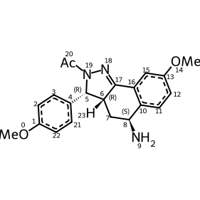 COc1ccc([C@H]2[C@H]3C[C@H](N)c4ccc(OC)cc4C3=NN2C(C)=O)cc1